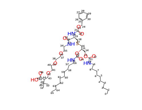 CCCCCCCCCCNC(=O)OC[C@H](CSC[C@H](NC(=O)OCc1ccccc1)C(=O)NCCOCCOCCOCC(C(=O)O)C(C)(C)C)OC(=O)NCCCCCCCCCC